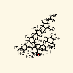 CC1C(O)[C@H](O)C(CO)O[C@H]1OC1[C@@H](OCC2O[C@@H](OC3C(CO)O[C@@H](OC4C(CO)O[C@@H](NC(=O)CBr)C(C)[C@H]4O)C(C)[C@H]3O)C(O)[C@@H](OC3OC(CO)[C@H](O)C(O)[C@@H]3O[C@@H]3OC(CO)C(O)[C@H](O)C3C)C2O)OC(CO)C(O)[C@@H]1O